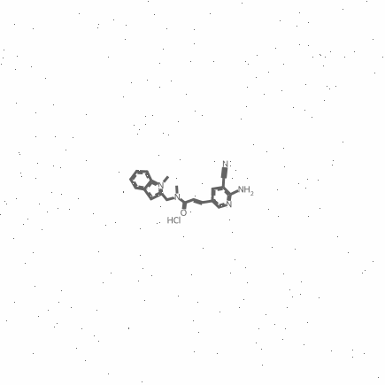 CN(Cc1cc2ccccc2n1C)C(=O)C=Cc1cnc(N)c(C#N)c1.Cl